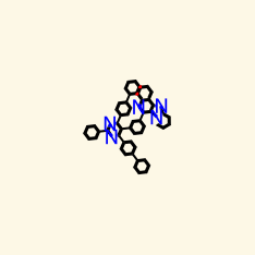 c1ccc(-c2ccc(-c3nc(-c4ccccc4)nc(-c4ccc(-c5ccccc5)cc4)c3-c3cccc(-c4nc5ccccc5c5nc6ccccn6c45)c3)cc2)cc1